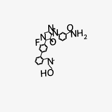 CN(CCO)Cc1ccccc1-c1ccc(C2N=Cc3ncn(-c4cccc(C(N)=O)c4)c3C2=O)c(F)c1